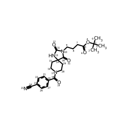 CC(C)(C)OC(=O)CCCN1C(=O)NC2(CCN(C(=O)c3ccc(C#N)cc3)CC2)C1=O